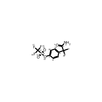 CC(F)(C(N)=O)c1ccc(OS(=O)(=O)C(F)(F)F)cc1